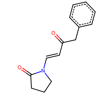 O=C(C=CN1CCCC1=O)Cc1ccccc1